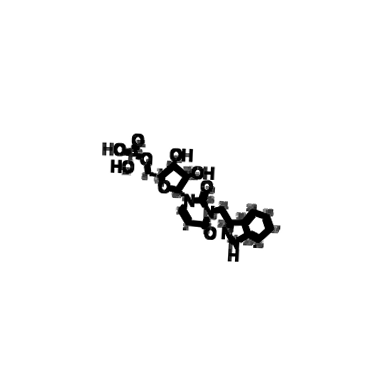 O=c1ccn([C@@H]2O[C@H](COP(=O)(O)O)[C@H](O)[C@@H]2O)c(=O)n1Cc1n[nH]c2ccccc12